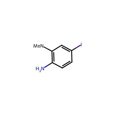 CNc1cc(I)ccc1N